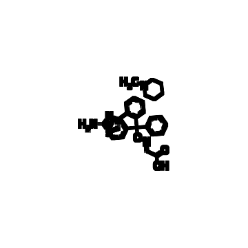 CN1CCCCC1.Nc1nc(-c2ccccc2C(ON=CC(=O)O)(c2ccccc2)c2ccccc2)cs1